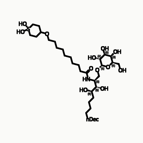 CCCCCCCCCCCCCC[C@@H](O)[C@@H](O)[C@H](CO[C@H]1O[C@H](CO)[C@H](O)[C@H](O)[C@H]1O)NC(=O)CCCCCCCCCOC1CCS(O)(O)CC1